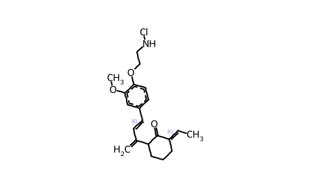 C=C(/C=C/c1ccc(OCCNCl)c(OC)c1)C1CCC/C(=C\C)C1=O